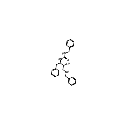 O=C(NCc1ccccc1)NC(Cc1ccccc1)C(O)CNCc1ccccc1